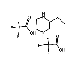 CCC1CNCCN1.O=C(O)C(F)(F)F.O=C(O)C(F)(F)F